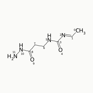 CC=NC(=O)NCCC(=O)NN